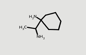 CC(N)C1(N)CCCCC1